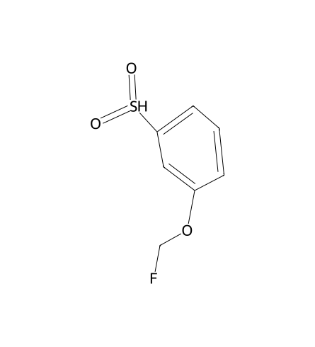 O=[SH](=O)c1cccc(OCF)c1